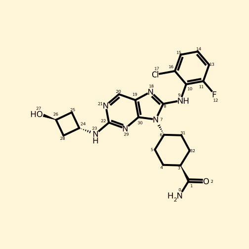 NC(=O)[C@H]1CC[C@H](n2c(Nc3c(F)cccc3Cl)nc3cnc(N[C@H]4C[C@H](O)C4)nc32)CC1